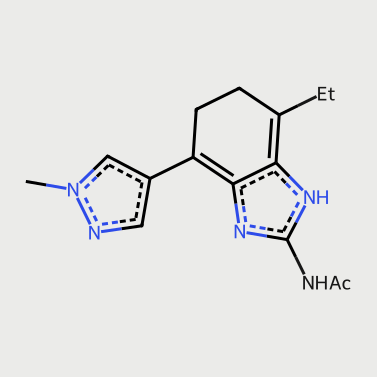 CCC1=c2[nH]c(NC(C)=O)nc2=C(c2cnn(C)c2)CC1